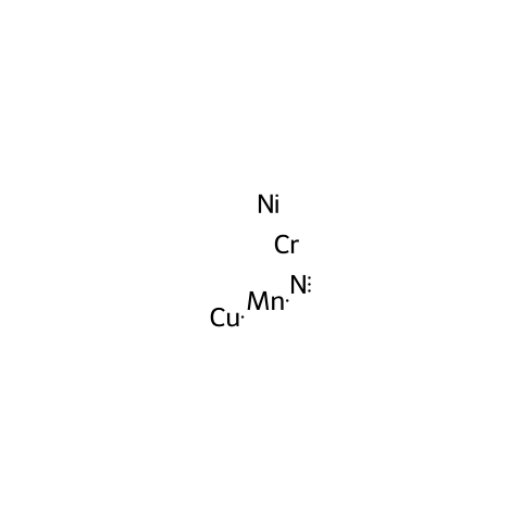 [Cr].[Cu].[Mn].[N].[Ni]